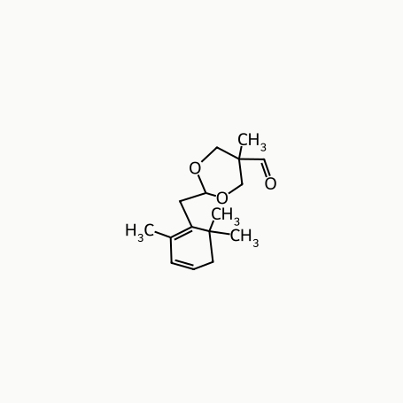 CC1=C(CC2OCC(C)(C=O)CO2)C(C)(C)CC=C1